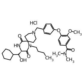 CCCCN1C(=O)[C@@H](C(O)C2CCCCC2)NC(=O)C12CCN(Cc1ccc(Oc3ccc(C(=O)N(C)C)cc3OC)cc1)CC2.Cl